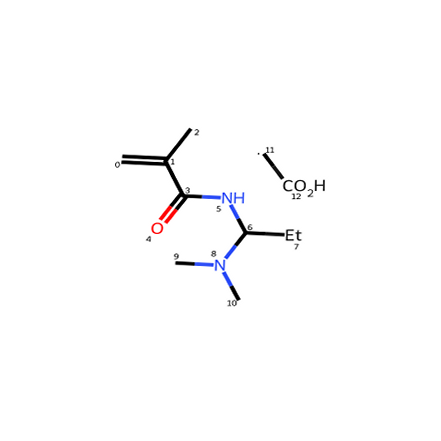 C=C(C)C(=O)NC(CC)N(C)C.[CH2]C(=O)O